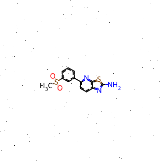 CS(=O)(=O)c1cccc(-c2ccc3nc(N)sc3n2)c1